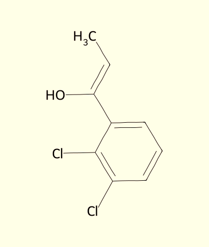 CC=C(O)c1cccc(Cl)c1Cl